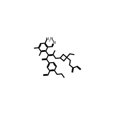 C=CC(=C)CCC1(CC)CC(C/C(C)=C(\C(=C)c2ccc(CCC)c(C=C)c2)c2c(C)c(C)cc(C)c2/C=N\N)C1